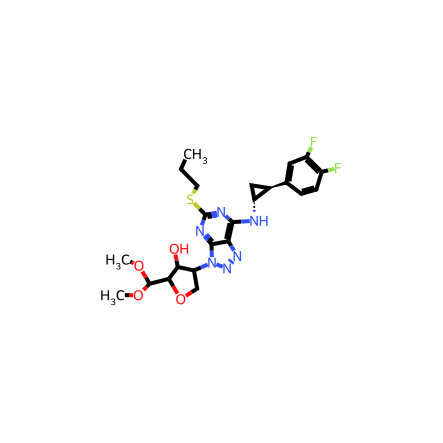 CCCSc1nc(N[C@@H]2C[C@H]2c2ccc(F)c(F)c2)c2nnn(C3COC(C(OC)OC)C3O)c2n1